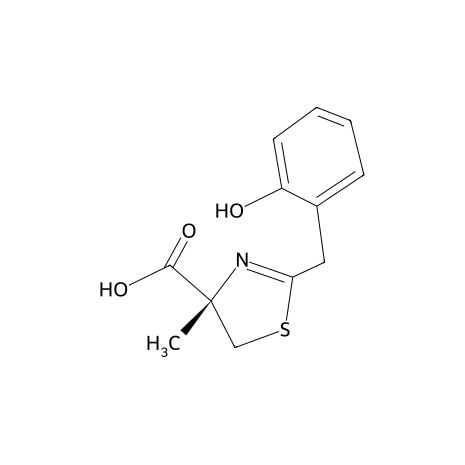 C[C@]1(C(=O)O)CSC(Cc2ccccc2O)=N1